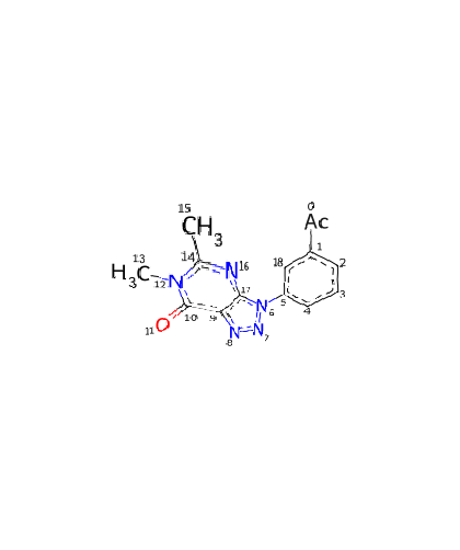 CC(=O)c1cccc(-n2nnc3c(=O)n(C)c(C)nc32)c1